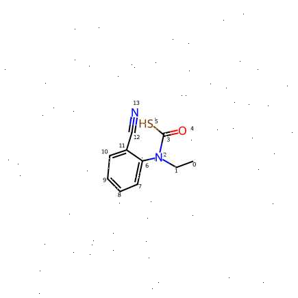 CCN(C(=O)S)c1ccccc1C#N